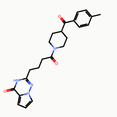 Cc1ccc(C(=O)C2CCN(C(=O)CCCc3nn4cccc4c(=O)[nH]3)CC2)cc1